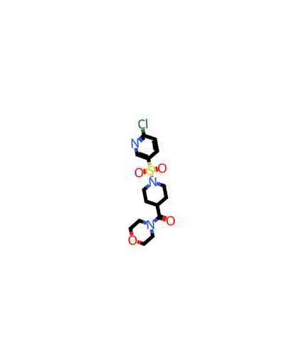 O=C(C1CCN(S(=O)(=O)c2ccc(Cl)nc2)CC1)N1CCOCC1